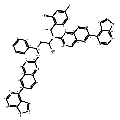 C[C@H](c1ccc(F)cc1F)N(c1ncc2cc(-c3ncnc4[nH]ncc34)ccc2n1)C(O)C[C@@H](Nc1ncc2cc(-c3ncnc4[nH]ncc34)ccc2n1)c1ccccc1